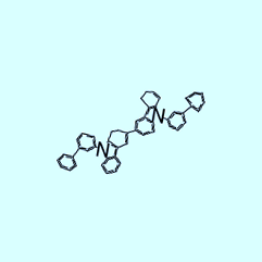 C1=Cc2c(c3cc(C4=Cc5c(n(-c6cccc(-c7ccccc7)c6)c6ccccc56)CC4)ccc3n2-c2cccc(-c3ccccc3)c2)CC1